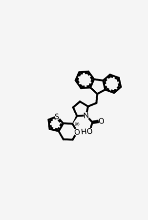 O=C(O)N1C(CC2c3ccccc3-c3ccccc32)CCC1[C@H]1OCCc2ccsc21